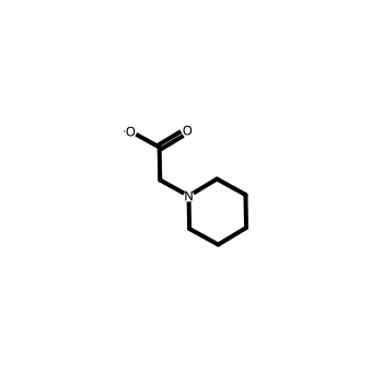 [O]C(=O)CN1CCCCC1